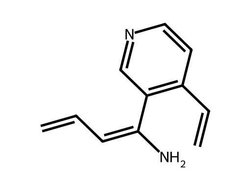 C=C/C=C(/N)c1cnccc1C=C